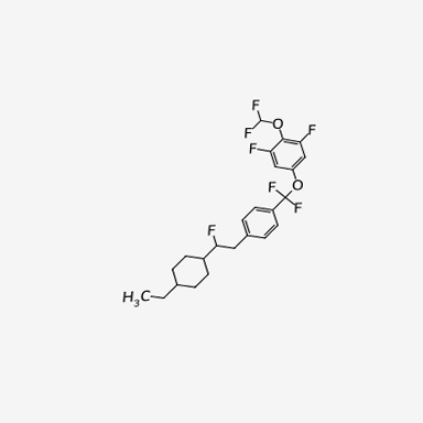 CCC1CCC(C(F)Cc2ccc(C(F)(F)Oc3cc(F)c(OC(F)F)c(F)c3)cc2)CC1